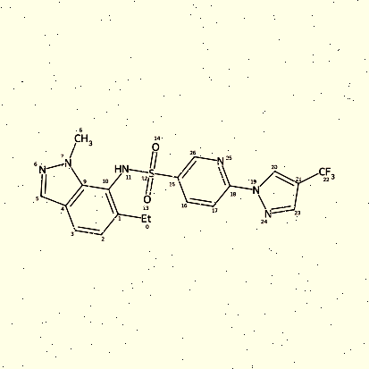 CCc1ccc2cnn(C)c2c1NS(=O)(=O)c1ccc(-n2cc(C(F)(F)F)cn2)nc1